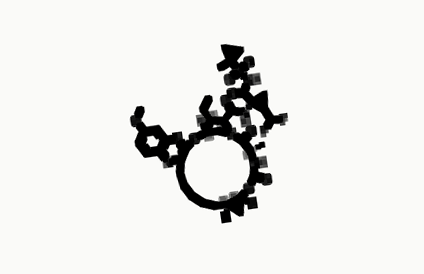 CC[C@@H]1[C@@H]2CN(C(=O)[C@H](C)NC(=O)O[C@@H]3C[C@H]3CCCCCc3nc4ccc(OC)cc4nc3O2)[C@@H]1C(=O)N[C@]1(C(=O)NS(=O)(=O)C2(C)CC2)CC1C(F)F